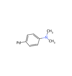 CN(C)c1cc[c]([Pd])cc1